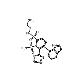 NCCNS(=O)(=O)c1ccc(-c2cccc3cn[nH]c23)c(-c2nn[nH]n2)c1S(N)(=O)=O